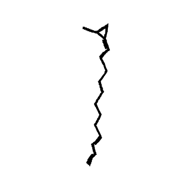 C=CC=CCCCCCCCC=C1CC1C